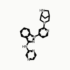 c1ccc2c(c1)c(Nc1cnccn1)nn2-c1ccnc(N2CC3CNC(C3)C2)c1